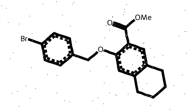 COC(=O)c1cc2c(cc1OCc1ccc(Br)cc1)CCCC2